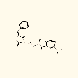 O=C1c2cc([N+](=O)[O-])ccc2OCN1CCON1C(=O)SC(=Cc2ccccc2)C1=O